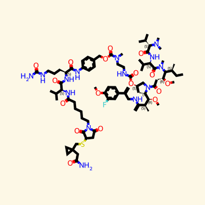 C=C(CNC(=C)[C@H](C)[C@@H](OC)[C@@H]1C[C@H](OC(=O)NCCN(C)C(=O)OCc2ccc(NC(=O)[C@H](CCCNC(N)=O)NC(=O)[C@@H](NC(=O)CCCCCN3C(=O)CC(SCC4(CC(N)=O)CC4)C3=O)C(C)C)cc2)CN1C(=O)C[C@@H](OC)C([C@@H](C)CC)N(C)C(=O)[C@@H](NC(=O)[C@H](C(C)C)N(C)C)C(C)C)c1ccc(OC)c(F)c1